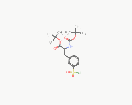 CC(C)(C)OC(=O)N[C@@H](Cc1cccc(S(=O)(=O)Cl)c1)C(=O)OC(C)(C)C